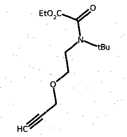 C#CCOCCN(C(=O)C(=O)OCC)C(C)(C)C